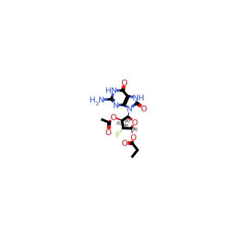 CCC(=O)O[C@H]1O[C@@H](n2c(=O)[nH]c3c(=O)[nH]c(N)nc32)[C@H](OC(C)=O)[C@H]1F